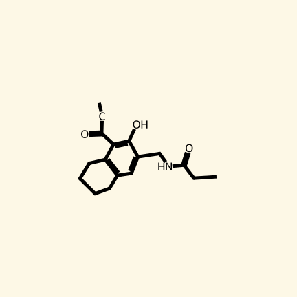 CCC(=O)NCc1cc2c(c(C(=O)CC)c1O)CCCC2